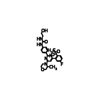 CC1COCCN1c1cc(-c2cc(F)ccc2S(C)(=O)=O)nc(-c2ccc(NC(=O)NCCO)cc2)n1